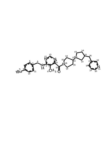 Cc1c(NCc2ccc(C(C)(C)C)cc2)ncnc1C(=O)N1CCC(N2CCC(Cc3cccnc3)C2)CC1